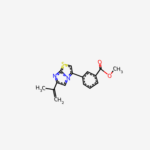 C=C(C)c1cn2c(-c3cccc(C(=O)OC)c3)csc2n1